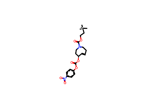 C[Si](C)(C)CCOC(=O)N1CC/C=C/[C@@H](OC(=O)Oc2ccc([N+](=O)[O-])cc2)CC1